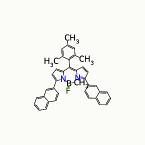 CB(F)n1c(/C(=C2/C=CC(c3ccc4ccccc4c3)=N2)c2c(C)cc(C)cc2C)ccc1-c1ccc2ccccc2c1